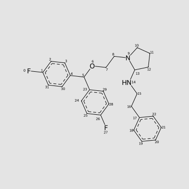 Fc1ccc(C(OCCN2CCCC2NCCc2ccccc2)c2ccc(F)cc2)cc1